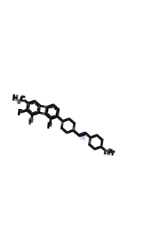 CCCC1CCC(/C=C/C2CCC(c3ccc4c(c3F)-c3c-4cc(C)c(F)c3F)CC2)CC1